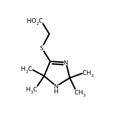 CC1(C)N=C(SCC(=O)O)C(C)(C)N1